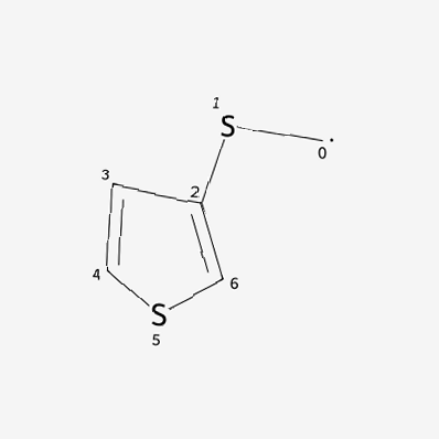 [CH2]Sc1ccsc1